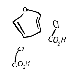 O=C(O)Cl.O=C(O)Cl.c1ccoc1